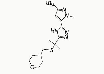 Cn1nc(C(C)(C)C)cc1-c1nnc(C(C)(C)SCC2CCOCC2)[nH]1